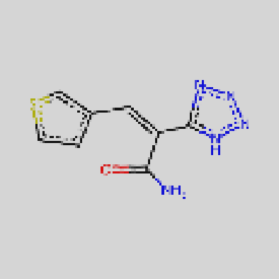 NC(=O)C(=Cc1ccsc1)c1nnn[nH]1